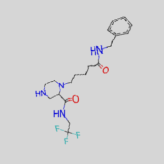 O=C(CCCCN1CCNCC1C(=O)NCC(F)(F)F)NCc1ccccc1